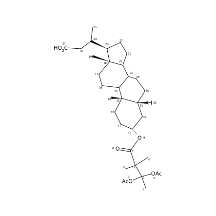 CC(=O)OC(C)(OC(C)=O)C(C)(C)C(=O)O[C@@H]1CC[C@]2(C)C3CC[C@@]4(C)C(CC[C@@H]4C(C)CC(=O)O)C3CC[C@@H]2C1